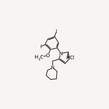 COc1c(I)cc(I)cc1-n1cccc1CN1CCCCC1.Cl